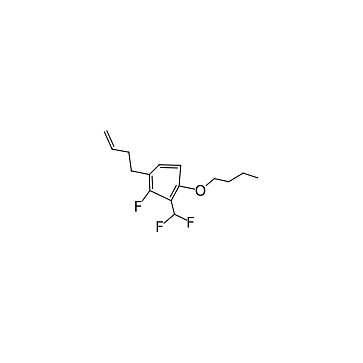 C=CCCc1ccc(OCCCC)c(C(F)F)c1F